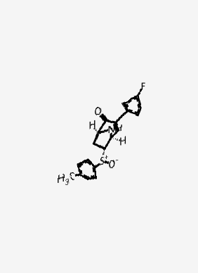 Cc1ccc([S+]([O-])[C@@H]2C[C@@H]3N[C@H]2C=C(c2ccc(F)cc2)C3=O)cc1